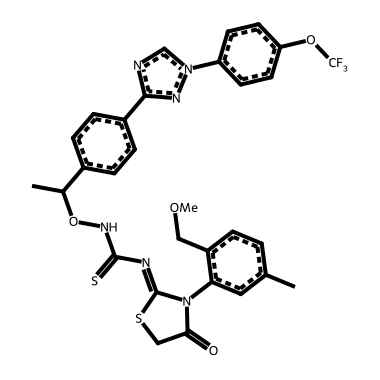 COCc1ccc(C)cc1N1C(=O)CS/C1=N\C(=S)NOC(C)c1ccc(-c2ncn(-c3ccc(OC(F)(F)F)cc3)n2)cc1